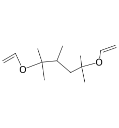 C=COC(C)(C)CC(C)C(C)(C)OC=C